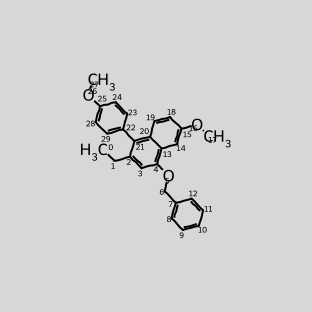 CCc1cc(OCc2ccccc2)c2cc(OC)ccc2c1-c1ccc(OC)cc1